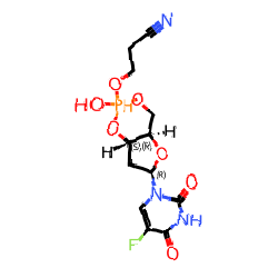 N#CCCO[PH]1(O)OC[C@H]2O[C@@H](n3cc(F)c(=O)[nH]c3=O)C[C@@H]2O1